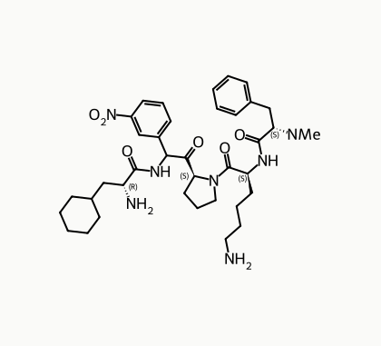 CN[C@@H](Cc1ccccc1)C(=O)N[C@@H](CCCCN)C(=O)N1CCC[C@H]1C(=O)C(NC(=O)[C@H](N)CC1CCCCC1)c1cccc([N+](=O)[O-])c1